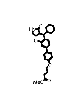 COC(=O)CCCOc1ccc(-c2ccc(C(C3CCCCC3)C3CCNC3=O)c(Cl)c2)cc1